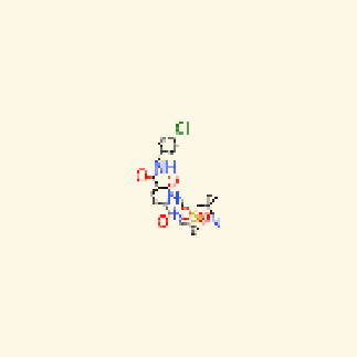 N#CC1(CS(=O)(=O)C2(CN3CCn4c(ccc(C(=O)NCc5ccc(Cl)cc5)c4=O)C3=O)CC2)CC1